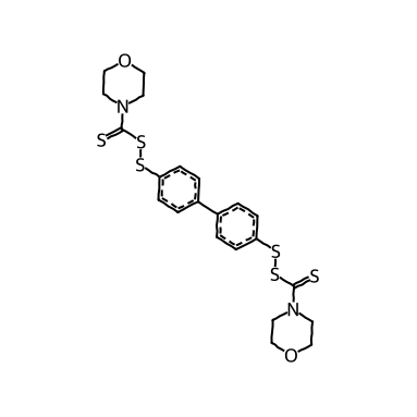 S=C(SSc1ccc(-c2ccc(SSC(=S)N3CCOCC3)cc2)cc1)N1CCOCC1